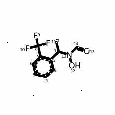 CC(c1ccccc1C(F)(F)F)N(O)C=O